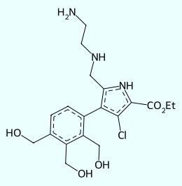 CCOC(=O)c1[nH]c(CNCCN)c(-c2ccc(CO)c(CO)c2CO)c1Cl